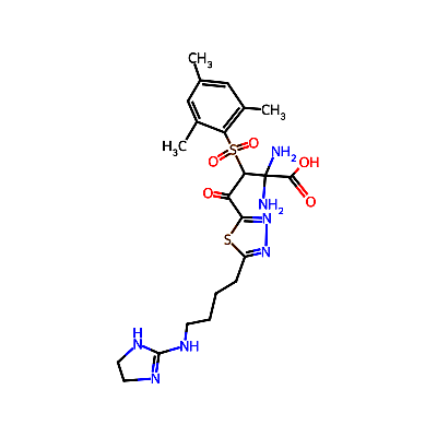 Cc1cc(C)c(S(=O)(=O)C(C(=O)c2nnc(CCCCNC3=NCCN3)s2)C(N)(N)C(=O)O)c(C)c1